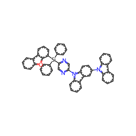 c1ccc([Si](c2ccccc2)(c2cnc(-n3c4ccccc4c4cc(-n5c6ccccc6c6ccccc65)ccc43)cn2)c2cccc3c2oc2ccccc23)cc1